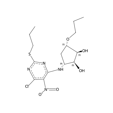 CCCO[C@H]1C[C@@H](Nc2nc(SCCC)nc(Cl)c2[N+](=O)[O-])[C@H](O)[C@@H]1O